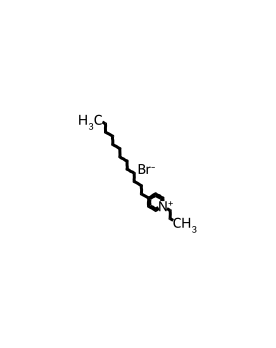 CCCCCCCCCCCCCc1cc[n+](CCC)cc1.[Br-]